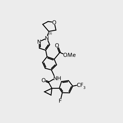 COC(=O)c1cc(NC(=O)C2(c3ccc(C(F)(F)F)cc3F)CC2)ccc1-c1cnn([C@H]2CCOC2)c1